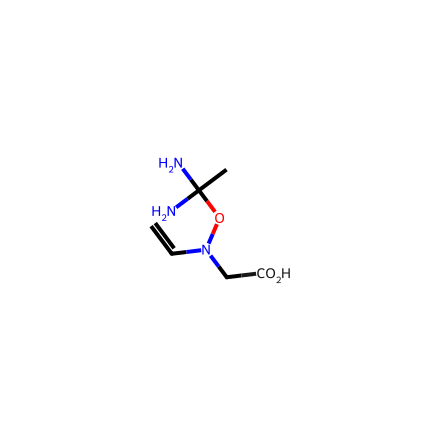 C=CN(CC(=O)O)OC(C)(N)N